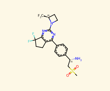 CS(=O)(=O)C[C@@H](N)c1ccc(-c2nc(N3CC[C@@H]3C(F)(F)F)nc3c2CCC3(F)F)cc1